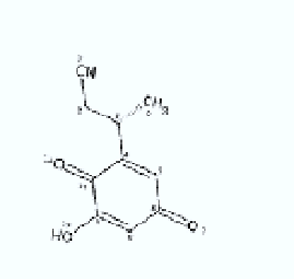 C[C@@H](CC#N)C1=CC(=O)C=C(O)C1=O